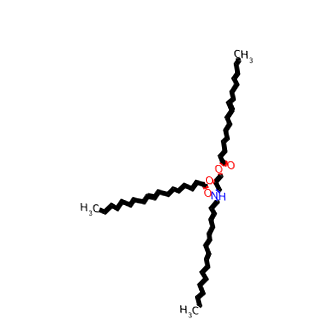 CCCCCCCCC=CCCCCCCCC(=O)OCC(CNCCCCCCCCCCCCCCCCCC)OC(=O)CCCCCCCC=CCCCCCCCC